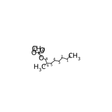 CCCCCCC(C)COC(=O)OC